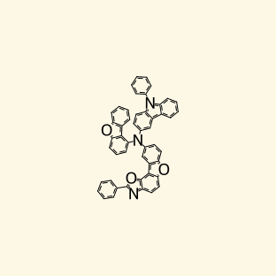 c1ccc(-c2nc3ccc4oc5ccc(N(c6ccc7c(c6)c6ccccc6n7-c6ccccc6)c6cccc7oc8ccccc8c67)cc5c4c3o2)cc1